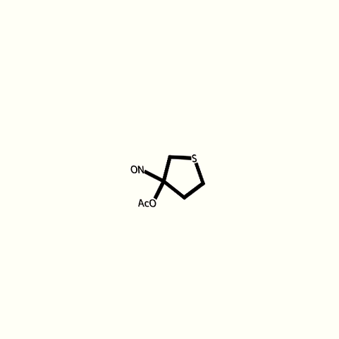 CC(=O)OC1(N=O)CCSC1